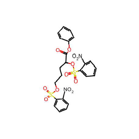 O=C(Oc1ccccc1)C(CCCOS(=O)(=O)c1ccccc1[N+](=O)[O-])OS(=O)(=O)c1ccccc1[N+](=O)[O-]